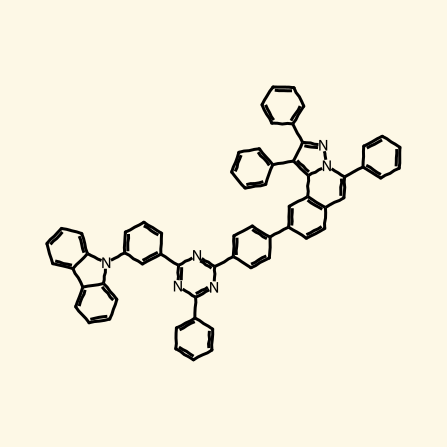 c1ccc(-c2nc(-c3ccc(-c4ccc5cc(-c6ccccc6)n6nc(-c7ccccc7)c(-c7ccccc7)c6c5c4)cc3)nc(-c3cccc(-n4c5ccccc5c5ccccc54)c3)n2)cc1